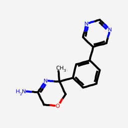 CC1(c2cccc(-c3cncnc3)c2)COCC(N)=N1